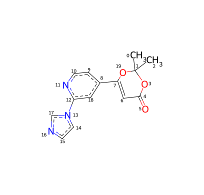 CC1(C)OC(=O)C=C(c2ccnc(-n3ccnc3)c2)O1